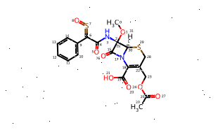 CO[C@@]1(NC(=O)C(=S=O)c2ccccc2)C(=O)N2C(C(=O)O)=C(COC(C)=O)CS[C@@H]21